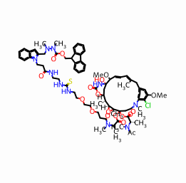 COc1cc2cc(c1Cl)N(C)C(=O)C[C@](OC(=O)C(C)N(C)C(=O)CCOCCOCCNC(=S)NCCNC(=O)CCn1c(CN(C)N(C)C(=O)OCC3c4ccccc4-c4ccccc43)cc3ccccc31)(OC(=O)[C@H](C)N(C)C(C)=O)[C@]1(C)O[C@H]1[C@H](C)[C@@H]1C[C@@](O)(NC(=O)O1)C(OC)/C=C/C=C(\C)C2